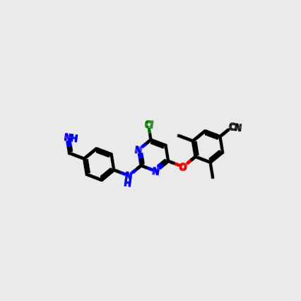 Cc1cc(C#N)cc(C)c1Oc1cc(Cl)nc(Nc2ccc(C=N)cc2)n1